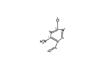 Nc1nc(Cl)ncc1C=O